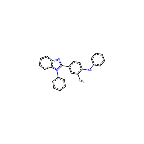 Cc1cc(-c2nc3ccccc3n2-c2ccccc2)ccc1Nc1ccccc1